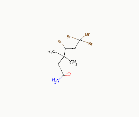 CC(C)(CC(N)=O)C(Br)CC(Br)(Br)Br